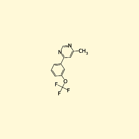 Cc1cc(-c2cccc(OC(F)(F)F)c2)ncn1